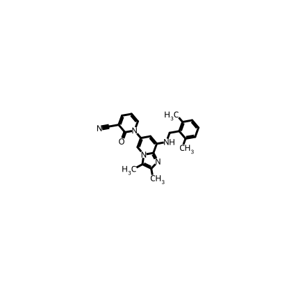 Cc1cccc(C)c1CNc1cc(-n2cccc(C#N)c2=O)cn2c(C)c(C)nc12